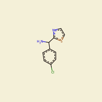 N[C](c1ccc(Cl)cc1)c1nccs1